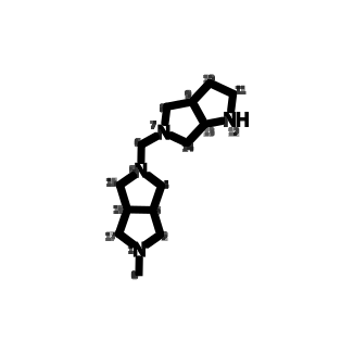 CN1CC2CN(CN3CC4CCNC4C3)CC2C1